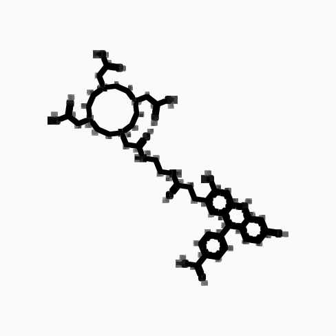 O=C(O)CN1CCN(CC(=O)O)CCN(CC(=O)NCCNC(=O)CCc2cc3c(-c4ccc(C(=O)O)cc4)c4ccc(=O)cc-4oc3cc2O)CCN(CC(=O)O)CC1